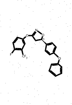 Fc1ccc(OC2=NO[C@@H](c3ccc(Oc4ccccc4)cc3)C2)cc1C(F)(F)F